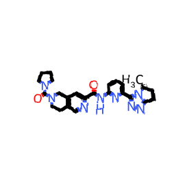 C[C@H]1CCc2nnc(-c3cccc(NC(=O)c4cc5c(cn4)CCN(C(=O)N4CCCC4)C5)n3)n21